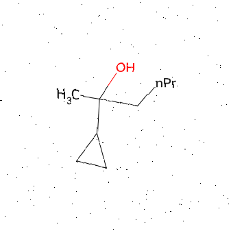 CCCCC(C)(O)C1CC1